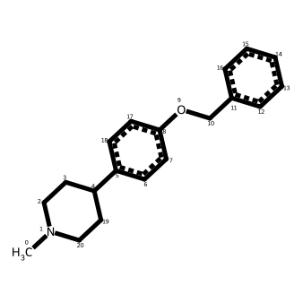 CN1CCC(c2ccc(OCc3ccccc3)cc2)CC1